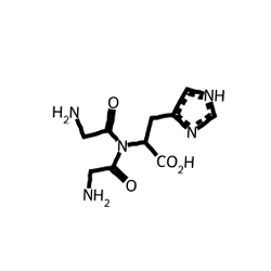 NCC(=O)N(C(=O)CN)C(Cc1c[nH]cn1)C(=O)O